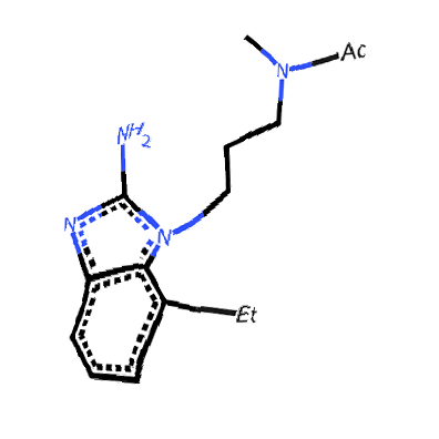 CCc1cccc2nc(N)n(CCCN(C)C(C)=O)c12